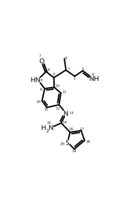 CC(CC=N)C1C(=O)Nc2ccc(N=C(N)c3cccs3)cc21